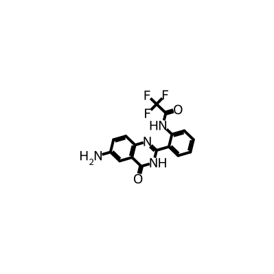 Nc1ccc2nc(-c3ccccc3NC(=O)C(F)(F)F)[nH]c(=O)c2c1